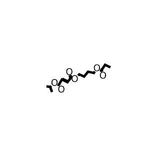 CCC(=O)OCCCCOC(=O)/C=C/C(=O)OC(C)C